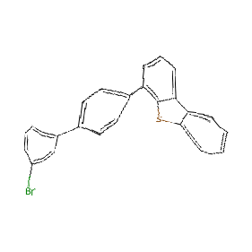 Brc1cccc(-c2ccc(-c3cccc4c3sc3ccccc34)cc2)c1